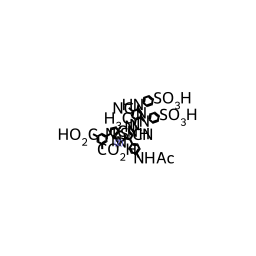 CC(=O)Nc1ccc(-c2c(/N=N\c3c(C#N)ccn3-c3cc(C(=O)O)cc(C(=O)O)c3)sc(N=Nc3c(Nc4ccc(S(=O)(=O)O)cc4)nc(Nc4ccc(S(=O)(=O)O)cc4)c(C#N)c3C)c2C#N)cc1